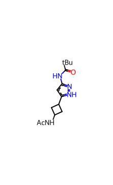 CC(=O)NC1CC(c2cc(NC(=O)C(C)(C)C)n[nH]2)C1